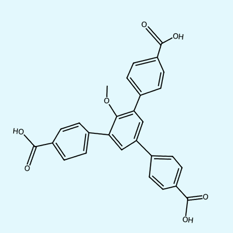 COc1c(-c2ccc(C(=O)O)cc2)cc(-c2ccc(C(=O)O)cc2)cc1-c1ccc(C(=O)O)cc1